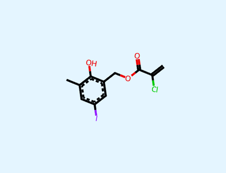 C=C(Cl)C(=O)OCc1cc(I)cc(C)c1O